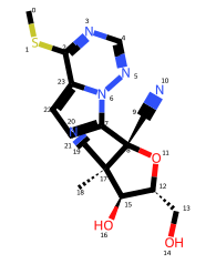 CSc1ncnn2c([C@]3(C#N)O[C@H](CO)[C@@H](O)[C@@]3(C)C#N)ccc12